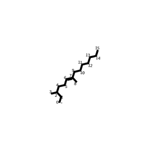 [CH2]CC(C)CC/C=C(\C)CCCCCCC